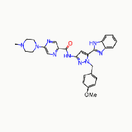 COc1ccc(Cn2nc(NC(=O)c3cnc(N4CCN(C)CC4)cn3)cc2-c2nc3ccccc3[nH]2)cc1